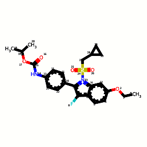 CCOc1ccc2c(F)c(-c3ccc(NC(=O)OC(C)C)cc3)n(S(=O)(=O)CC3CC3)c2c1